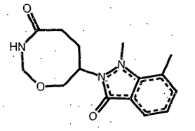 Cc1cccc2c(=O)n(C3CCC(=O)NCOC3)n(C)c12